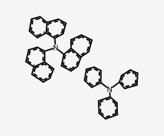 c1ccc(N(c2ccccc2)c2ccccc2)cc1.c1ccc2c(N(c3cccc4ccccc34)c3cccc4ccccc34)cccc2c1